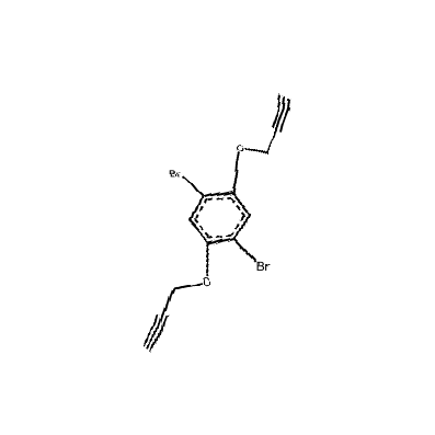 C#CCOc1cc(Br)c(OCC#C)cc1Br